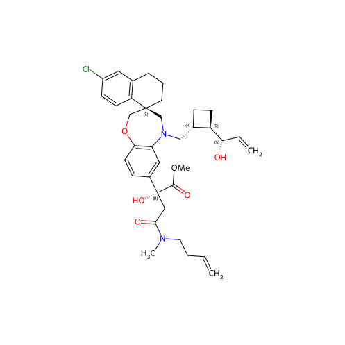 C=CCCN(C)C(=O)C[C@](O)(C(=O)OC)c1ccc2c(c1)N(C[C@@H]1CC[C@H]1[C@@H](O)C=C)C[C@@]1(CCCc3cc(Cl)ccc31)CO2